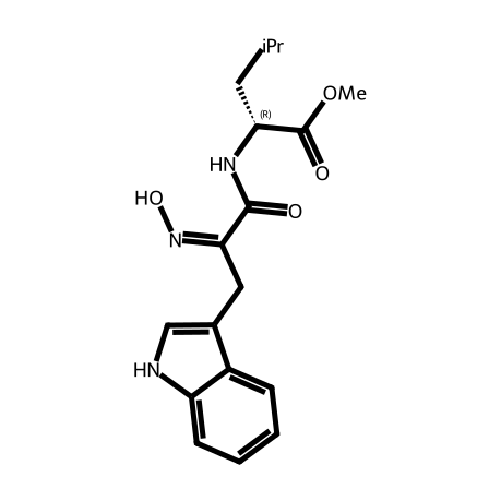 COC(=O)[C@@H](CC(C)C)NC(=O)C(Cc1c[nH]c2ccccc12)=NO